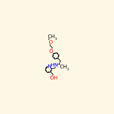 CCOCCOc1ccc(C[C@@H](C)NCc2ncccc2CO)cc1